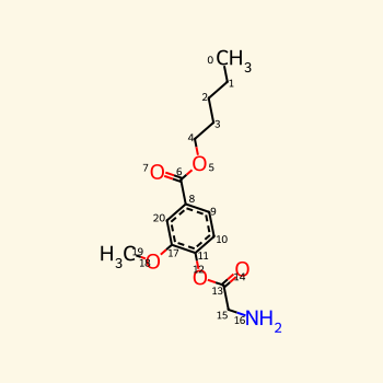 CCCCCOC(=O)c1ccc(OC(=O)CN)c(OC)c1